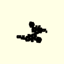 CCC1CC(N(Cc2cc(C(F)(F)F)cc(C(F)(F)F)c2)c2ncc(N3CCOCC3)cn2)CC(Cc2ccccc2)N1C(=O)C1CCC(CC(=O)O)CC1